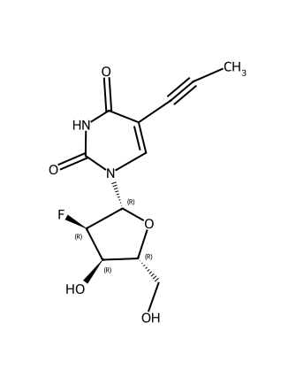 CC#Cc1cn([C@@H]2O[C@H](CO)[C@@H](O)[C@H]2F)c(=O)[nH]c1=O